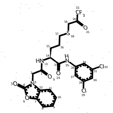 O=C(Cn1c(=O)oc2ccccc21)N[C@@H](CCCSCC(=O)C(F)(F)F)C(=O)Nc1cc(Cl)cc(Cl)c1